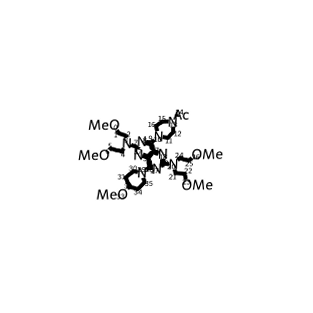 COCCN(CCOC)c1nc(N2CCN(C(C)=O)CC2)c2nc(N(CCOC)CCOC)nc(N3CCC(OC)CC3)c2n1